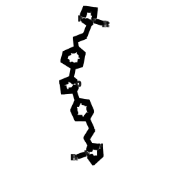 CCn1ccnc1C=Cc1ccc(-c2ccc(-c3ccc(C=Cc4nccn4CC)cc3)o2)cc1